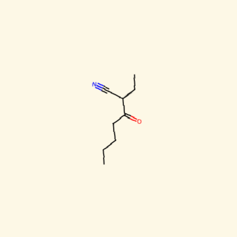 CCCCC(=O)C(C#N)CC